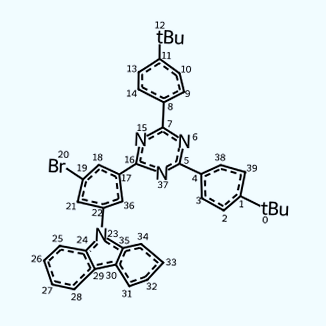 CC(C)(C)c1ccc(-c2nc(-c3ccc(C(C)(C)C)cc3)nc(-c3cc(Br)cc(-n4c5ccccc5c5ccccc54)c3)n2)cc1